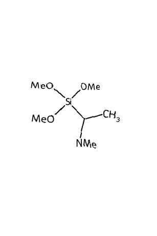 CNC(C)[Si](OC)(OC)OC